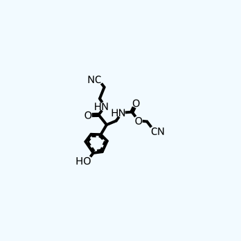 N#CCCNC(=O)C(CNC(=O)OCC#N)c1ccc(O)cc1